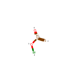 O=[SH](=S)OBr